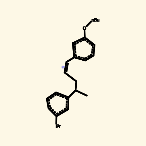 CCCCOc1cccc(/C=C\CC(C)c2cccc(C(C)C)c2)c1